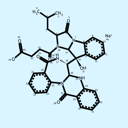 CC(C)CC1C(=O)N2c3ccccc3[C@](O)([C@H]3NC(=O)c4ccccc4N4C(=O)c5ccccc5NC34)C2N1C(=O)CCC(=O)[O-].[Na+]